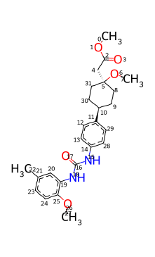 COC(=O)C[C@]1(OC)CC[C@@H](c2ccc(NC(=O)Nc3cc(C)ccc3OC)cc2)CC1